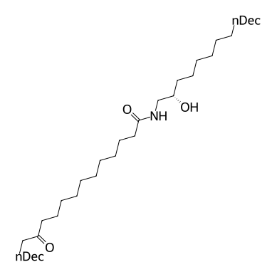 CCCCCCCCCCCCCCCC[C@H](O)CNC(=O)CCCCCCCCCCC(=O)CCCCCCCCCCC